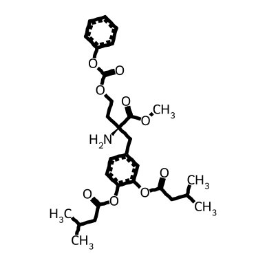 COC(=O)[C@@](N)(CCOC(=O)Oc1ccccc1)Cc1ccc(OC(=O)CC(C)C)c(OC(=O)CC(C)C)c1